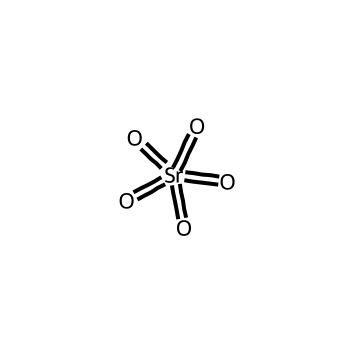 [O]=[Sr](=[O])(=[O])(=[O])=[O]